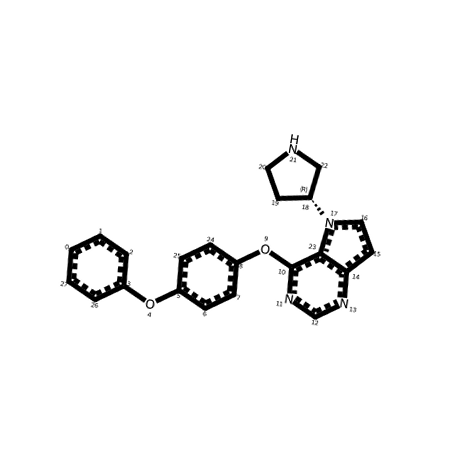 c1ccc(Oc2ccc(Oc3ncnc4ccn([C@@H]5CCNC5)c34)cc2)cc1